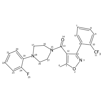 Cc1onc(-c2ccccc2C(F)(F)F)c1C(=O)N1CCN(c2ccccc2F)CC1